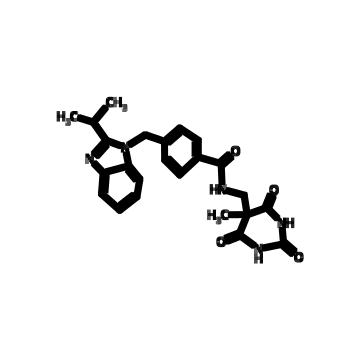 CC(C)c1nc2ccccc2n1Cc1ccc(C(=O)NCC2(C)C(=O)NC(=O)NC2=O)cc1